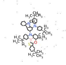 Cc1cc2c3c(c1)N(c1cc(N(c4ccc(C(C)(C)C)cc4)c4ccc(C(C)(C)C)cc4)c4c(c1)c1ccccc1n4C)c1ccc(C(C)(C)C)cc1B3c1sc3ccc(C(C)(C)C)cc3c1O2